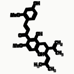 C=C(C)C(CC=C(C)C)Cc1c(O)cc(OC)c(C(=O)/C=C/c2ccc(O)cc2OC)c1O